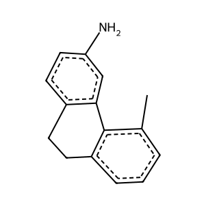 Cc1cccc2c1-c1cc(N)ccc1CC2